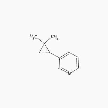 CC1(C)CC1c1[c]nccc1